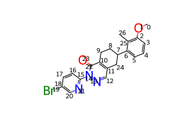 COc1cccc(C2CCc3c(cnn(-c4ccc(Br)cn4)c3=O)C2)c1C